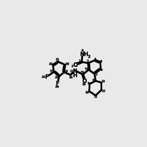 NC(=O)c1cccc(C2CCCCC2)c1C(=O)NCc1cccc(F)c1F